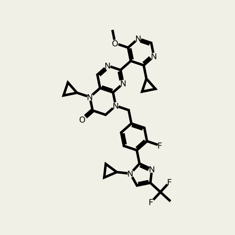 COc1ncnc(C2CC2)c1-c1ncc2c(n1)N(Cc1ccc(-c3nc(C(C)(F)F)cn3C3CC3)c(F)c1)CC(=O)N2C1CC1